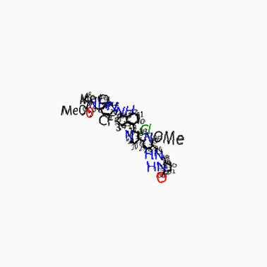 COC(=O)C1(NCc2cc(C(F)(F)F)c(N[C@H]3CCc4c(-c5nccc(-c6ccc(CNC[C@H]7CCC(=O)N7)c(OC)n6)c5Cl)cccc43)nc2OC)CC1